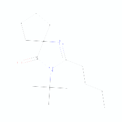 CCCCC1=NC2(CCCC2)C(=O)N1C(C)(C)C